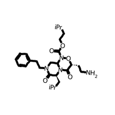 CC(C)CCOC(=O)N1O[C@H](CCN)C(=O)N2C1CN(CCc1ccccc1)C(=O)[C@@H]2CC(C)C